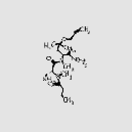 C=CCOC(C)(C)C[C@@H](C(N)=O)N(C)C(=O)[C@@H](CN)N(C)C(=O)CCC